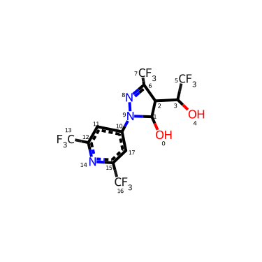 OC1C(C(O)C(F)(F)F)C(C(F)(F)F)=NN1c1cc(C(F)(F)F)nc(C(F)(F)F)c1